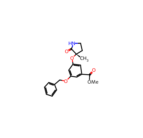 COC(=O)c1cc(OCc2ccccc2)cc(O[C@@]2(C)CCNC2=O)c1